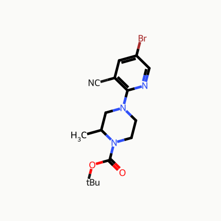 CC1CN(c2ncc(Br)cc2C#N)CCN1C(=O)OC(C)(C)C